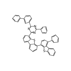 c1ccc(-c2cccc(-c3nc(-c4ccccc4)nc(-c4cccc5c4sc4c(-c6ccc(-c7ccccc7)c7c6sc6ccccc67)cccc45)n3)c2)cc1